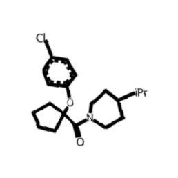 CC(C)C1CCN(C(=O)C2(Oc3ccc(Cl)cc3)CCCC2)CC1